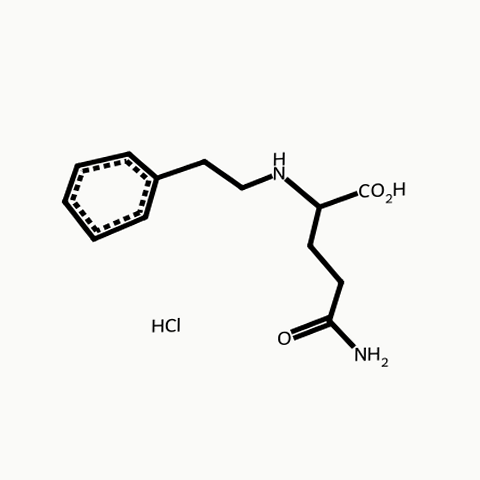 Cl.NC(=O)CCC(NCCc1ccccc1)C(=O)O